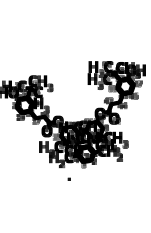 [CH2]c1ccc([CH2])c(N2C(C)(C)CC(OC(=O)CCc3ccc(O)c(C(C)(C)C)c3)CC2(C)C)c1N1C(C)(C)CC(OC(=O)CCc2ccc(O)c(C(C)(C)C)c2)CC1(C)C